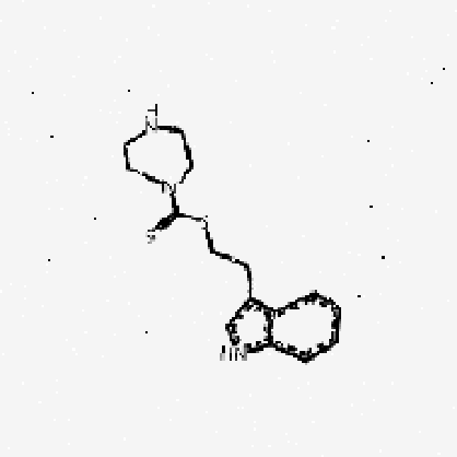 S=C(SCCc1c[nH]c2ccccc12)N1CCNCC1